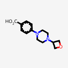 O=C(O)c1ccc(N2CCN(C3COC3)CC2)cc1